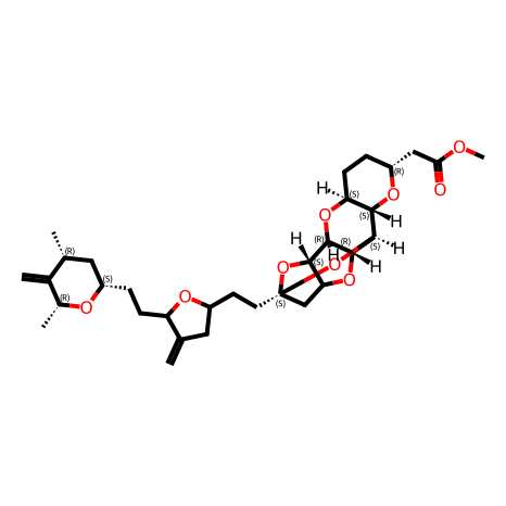 C=C1CC(CC[C@@]23CC4O[C@H]5[C@@H](O2)[C@H]2O[C@@H](CC(=O)OC)CC[C@@H]2O[C@H]5[C@H]4O3)OC1CC[C@H]1C[C@@H](C)C(=C)[C@@H](C)O1